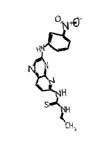 CCNC(=S)Nc1ccc2ncc(Nc3cccc([N+](=O)[O-])c3)nc2n1